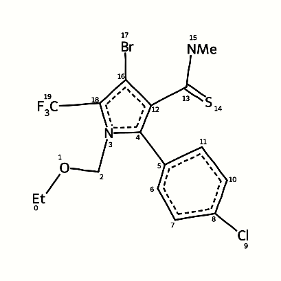 CCOCn1c(-c2ccc(Cl)cc2)c(C(=S)NC)c(Br)c1C(F)(F)F